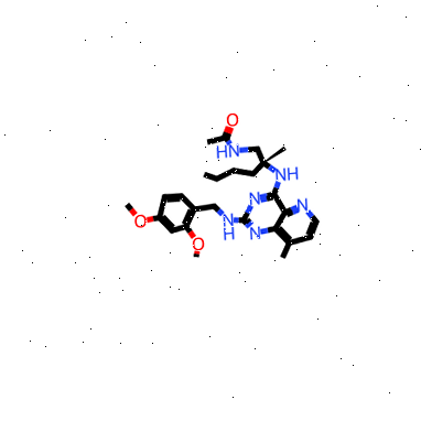 CCCC[C@](C)(CNC(C)=O)Nc1nc(NCc2ccc(OC)cc2OC)nc2c(C)ccnc12